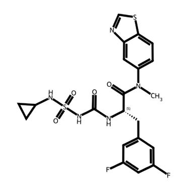 CN(C(=O)[C@H](Cc1cc(F)cc(F)c1)NC(=O)NS(=O)(=O)NC1CC1)c1ccc2scnc2c1